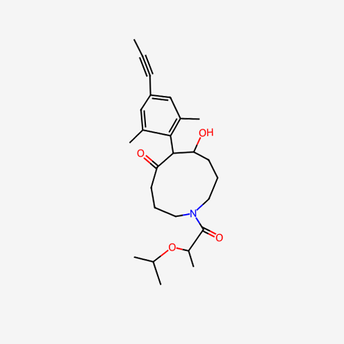 CC#Cc1cc(C)c(C2C(=O)CCCN(C(=O)C(C)OC(C)C)CCCC2O)c(C)c1